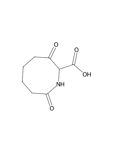 O=C1CCCCC(=O)C(C(=O)O)N1